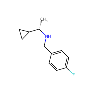 C[C@H](NCc1ccc(F)cc1)C1CC1